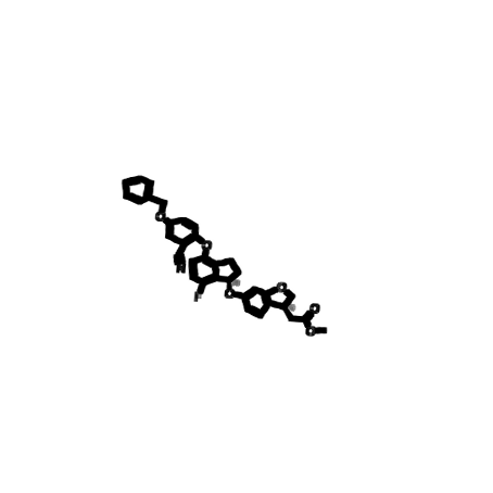 COC(=O)C[C@@H]1COc2cc(O[C@@H]3CCc4c(Oc5ccc(OCc6ccccc6)cc5C#N)ccc(F)c43)ccc21